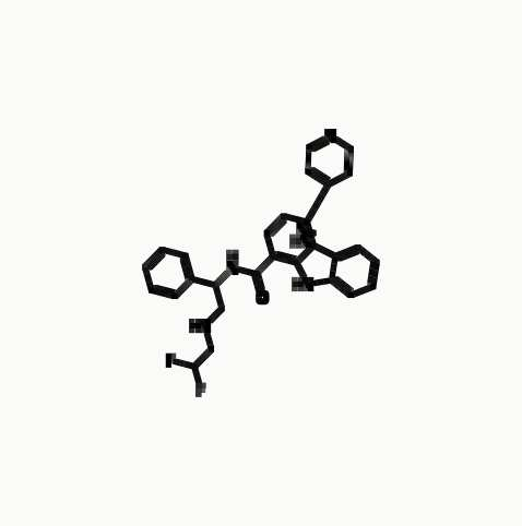 O=C(NC(CNCC(F)F)c1ccccc1)C1=C2Nc3ccccc3C23NCN(c2ccncc2)C3C=C1